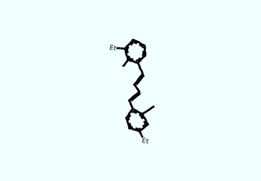 CCc1ccc(C=CC=Cc2cccc(CC)c2C)c(C)c1